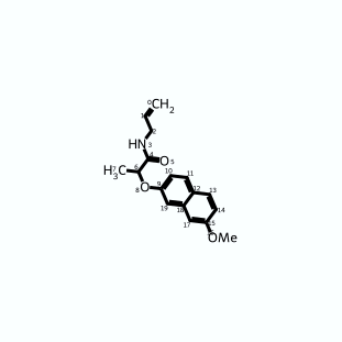 C=CCNC(=O)C(C)Oc1ccc2ccc(OC)cc2c1